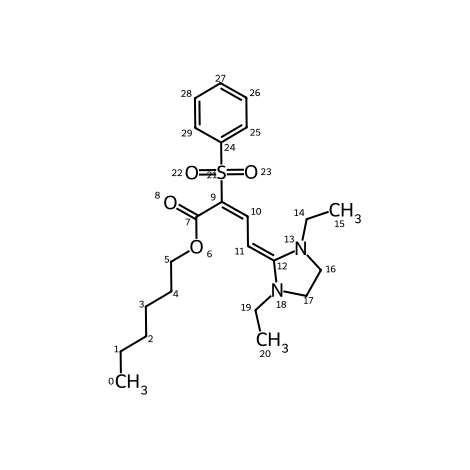 CCCCCCOC(=O)C(=CC=C1N(CC)CCN1CC)S(=O)(=O)c1ccccc1